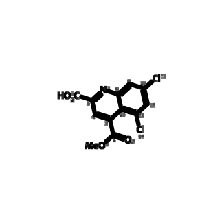 COC(=O)c1cc(C(=O)O)nc2cc(Cl)cc(Cl)c12